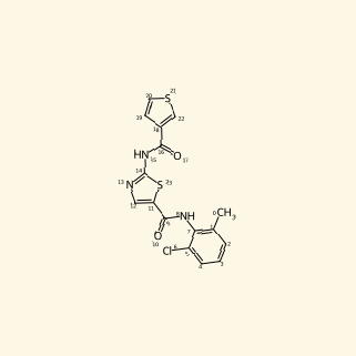 Cc1cccc(Cl)c1NC(=O)c1cnc(NC(=O)c2ccsc2)s1